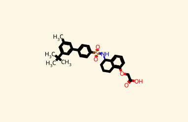 Cc1cc(-c2ccc(S(=O)(=O)N[C@@H]3CCCc4c(OCC(=O)O)cccc43)cc2)cc(C(C)(C)C)c1